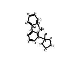 CC1(c2cccc3c2[N]c2ccccc2-3)CCCC1